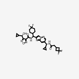 O=C(CC1CC(F)(F)C1)N[C@@H](c1cnn2cc(C(NC(=O)c3nonc3[C@H](O)C3CC3)C3CCC(F)(F)CC3)nc2c1)C1CC1